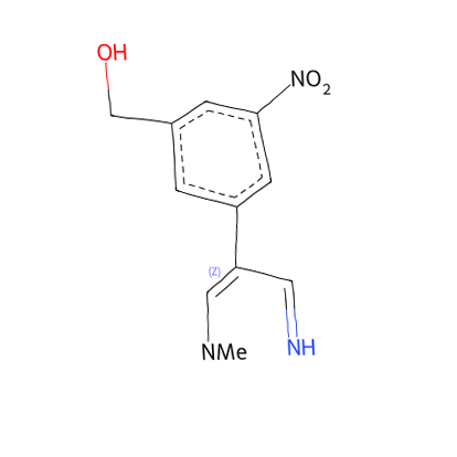 CN/C=C(\C=N)c1cc(CO)cc([N+](=O)[O-])c1